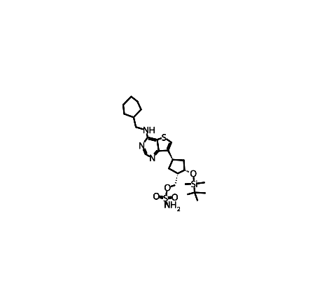 CC(C)(C)[Si](C)(C)O[C@H]1C[C@H](c2csc3c(NCC4CCCCC4)ncnc23)C[C@H]1COS(N)(=O)=O